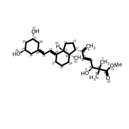 C=C(/C=C/[C@H](O)C(C)(C)C(=O)OC)[C@H]1CC[C@H]2/C(=C/C=C3C[C@@H](O)C[C@H](O)C3)CCC[C@]12C